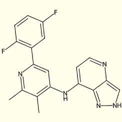 Cc1nc(-c2cc(F)ccc2F)cc(Nc2ccnc3c[nH]nc23)c1C